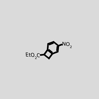 CCOC(=O)C1Cc2cc([N+](=O)[O-])ccc21